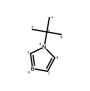 CC(C)(C)n1cbcc1